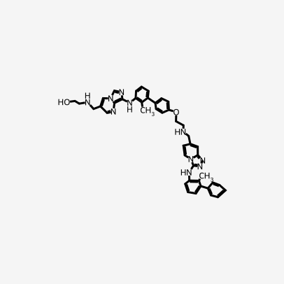 Cc1c(Nc2ncn3cc(CNCCO)cnc23)cccc1-c1ccc(OCCNCc2ccn3c(Nc4cccc(-c5ccccc5)c4C)nnc3c2)cc1